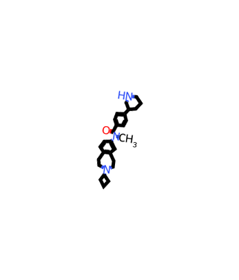 CN(C(=O)c1ccc(C2CCCNC2)cc1)c1ccc2c(c1)CCN(C1CCC1)CC2